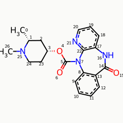 C[C@@H]1C[C@H](OC(=O)N2c3ccccc3C(=O)Nc3cccnc32)CCN1C